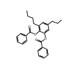 CCCCc1cc(CCC)cc(OC(=O)c2ccccc2)c1OC(=O)c1ccccc1